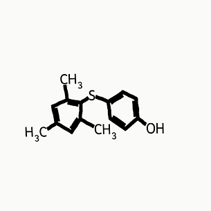 Cc1cc(C)c(Sc2ccc(O)cc2)c(C)c1